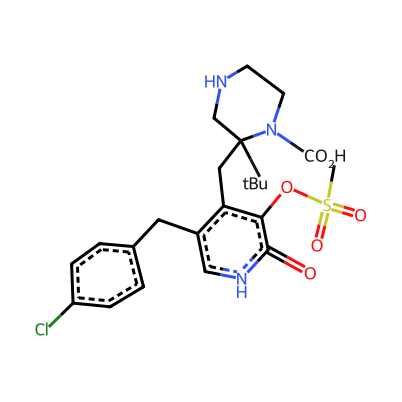 CC(C)(C)C1(Cc2c(Cc3ccc(Cl)cc3)c[nH]c(=O)c2OS(C)(=O)=O)CNCCN1C(=O)O